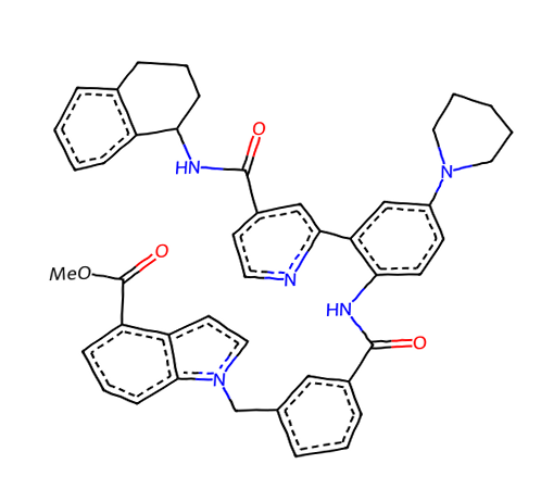 COC(=O)c1cccc2c1ccn2Cc1cccc(C(=O)Nc2ccc(N3CCCCC3)cc2-c2cc(C(=O)NC3CCCc4ccccc43)ccn2)c1